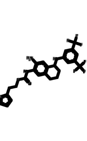 Nc1cc2c(cc1NC(=O)OCCc1ccco1)CCCC2Nc1cc(C(F)(F)F)cc(C(F)(F)F)c1